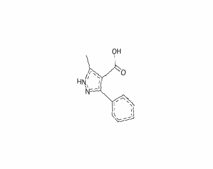 Cc1[nH]nc(-c2ccccc2)c1C(=O)O